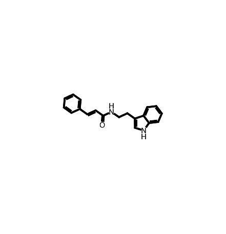 O=C(C=Cc1ccccc1)NCCc1c[nH]c2ccccc12